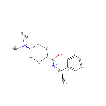 C[C@@H](NC(=O)[C@H]1CC[C@H](N(C(=O)O)C(C)(C)C)CC1)c1ccccc1